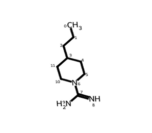 CCCC1CCN(C(=N)N)CC1